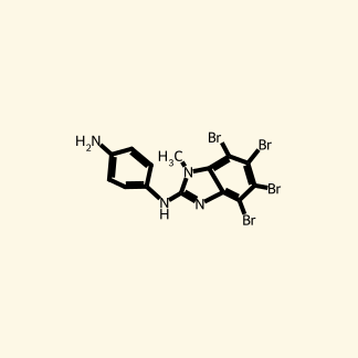 Cn1c(Nc2ccc(N)cc2)nc2c(Br)c(Br)c(Br)c(Br)c21